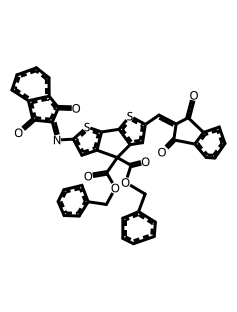 O=C1C(=Cc2cc3c(s2)-c2sc(N=c4c(=O)c5ccccc5c4=O)cc2C3(C(=O)OCc2ccccc2)C(=O)OCc2ccccc2)C(=O)c2ccccc21